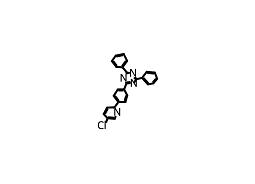 Clc1ccc(-c2ccc(-c3nc(-c4ccccc4)nc(-c4ccccc4)n3)cc2)nc1